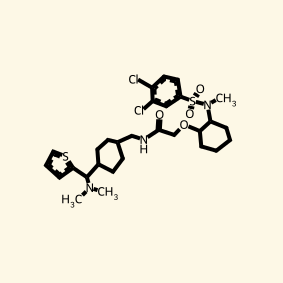 CN(C)C(c1cccs1)C1CCC(CNC(=O)COC2CCCCC2N(C)S(=O)(=O)c2ccc(Cl)c(Cl)c2)CC1